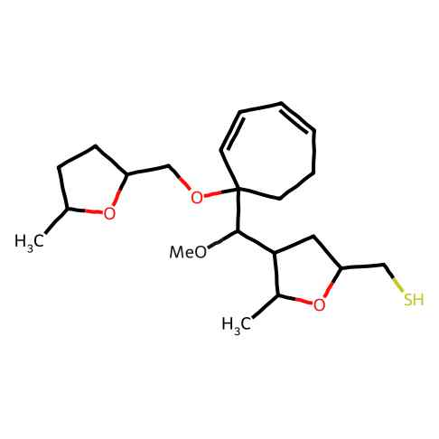 COC(C1CC(CS)OC1C)C1(OCC2CCC(C)O2)C=CC=CCC1